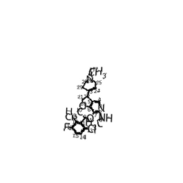 CNc1ncc2c(c1O[C@H](C)c1c(Cl)ccc(F)c1Cl)OCC2C1=CCN(C)CC1